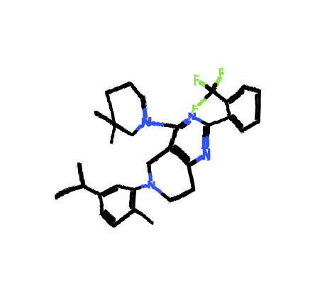 Cc1ccc(C(C)C)cc1N1CCc2nc(-c3ccccc3C(F)(F)F)nc(N3CCCC(C)(C)C3)c2C1